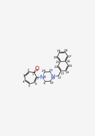 O=c1cccccc1N1CCN(Cc2ccc3ccccc3c2)CC1